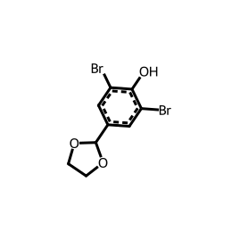 Oc1c(Br)cc(C2OCCO2)cc1Br